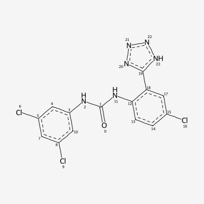 O=C(Nc1cc(Cl)cc(Cl)c1)Nc1ccc(Cl)cc1-c1nnn[nH]1